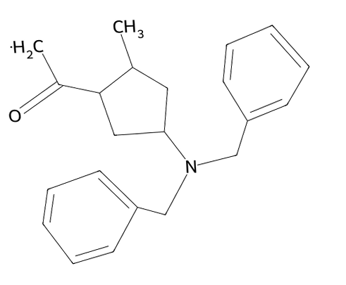 [CH2]C(=O)C1CC(N(Cc2ccccc2)Cc2ccccc2)CC1C